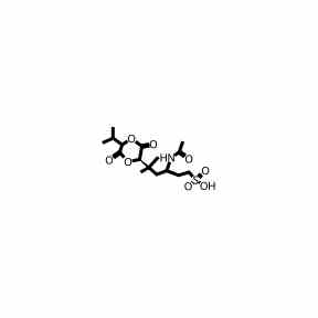 CC(=O)NC(CCS(=O)(=O)O)CC(C)(C)[C@H]1OC(=O)C(C(C)C)OC1=O